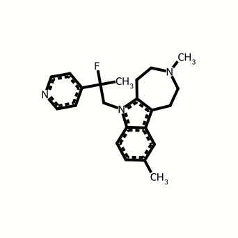 Cc1ccc2c(c1)c1c(n2CC(C)(F)c2ccncc2)CCN(C)CC1